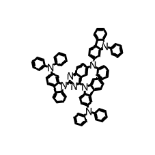 c1ccc(N(c2ccccc2)c2ccc3c(c2)c2ccccc2n3-c2nc(-n3c4ccccc4c4ccc(N(c5ccccc5)c5ccccc5)cc43)nc3ccc(N(c4ccccc4)c4ccc5c6ccccc6n(-c6ccccc6)c5c4)cc23)cc1